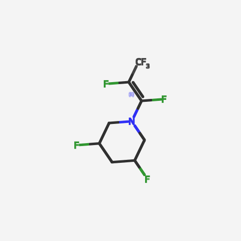 F/C(=C(/F)C(F)(F)F)N1CC(F)CC(F)C1